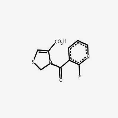 O=C(O)C1=CSCN1C(=O)c1cccnc1F